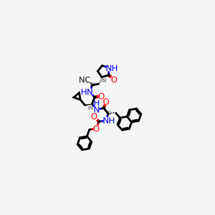 N#C[C@H](C[C@@H]1CCNC1=O)NC(=O)[C@H](CC1CC1)NC(=O)[C@H](Cc1cccc2ccccc12)NC(=O)OCc1ccccc1